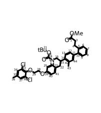 COC(=O)CCc1ccccc1-c1ccc(C(CNC(=O)OC(C)(C)C)Cc2ccc(OCCOc3c(Cl)cc(C)cc3Cl)cc2)c(C)c1